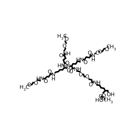 COCCOCCNC(=O)CCC(=O)NCCCCC(NC(=O)CCC(=O)NCCOCCOC)C(=O)NC(CCCCNC(=O)CCC(=O)NCCOCCOC)C(=O)NCCOCCOCCC(=O)NCCCCC(CO)COP(C)(=O)O